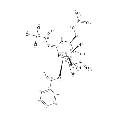 C=C1N[C@H]2[C@H](COC(N)=O)N/C(=N\C(=O)C(Cl)(Cl)Cl)N3C[C@H](OC(=O)c4ccccc4)C(O)(O)[C@]23N1